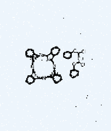 Cl[CH](Oc1ccccc1)[Cu][CH](Cl)Oc1ccccc1.c1ccc2c(c1)-c1nc-2nc2[nH]c(nc3nc(nc4[nH]c(n1)c1ccccc41)-c1ccccc1-3)c1ccccc21